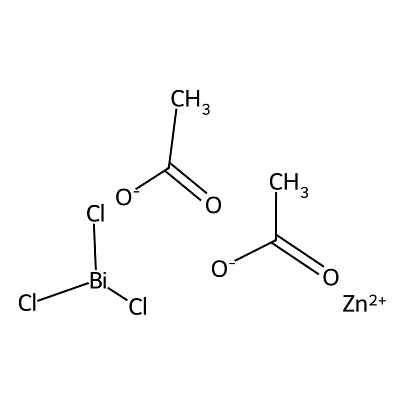 CC(=O)[O-].CC(=O)[O-].[Cl][Bi]([Cl])[Cl].[Zn+2]